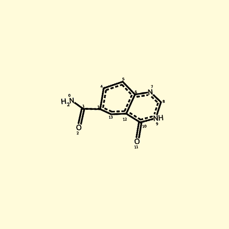 NC(=O)c1ccc2nc[nH]c(=O)c2c1